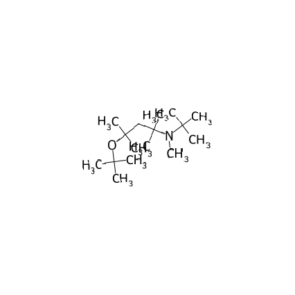 CN(C(C)(C)C)C(C)(C)CC(C)(C)OC(C)(C)C